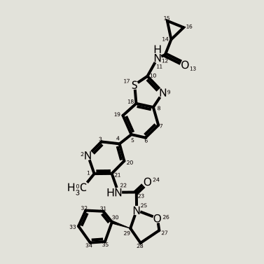 Cc1ncc(-c2ccc3nc(NC(=O)C4CC4)sc3c2)cc1NC(=O)N1OCC[C@H]1c1ccccc1